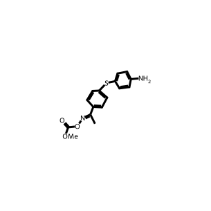 COC(=O)O/N=C(\C)c1ccc(Sc2ccc(N)cc2)cc1